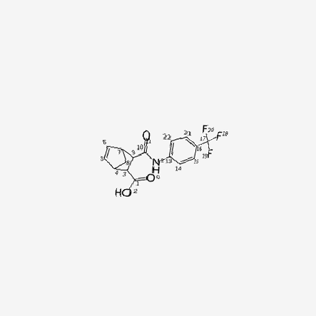 O=C(O)C1C2C=CC(C2)C1C(=O)Nc1ccc(C(F)(F)F)cc1